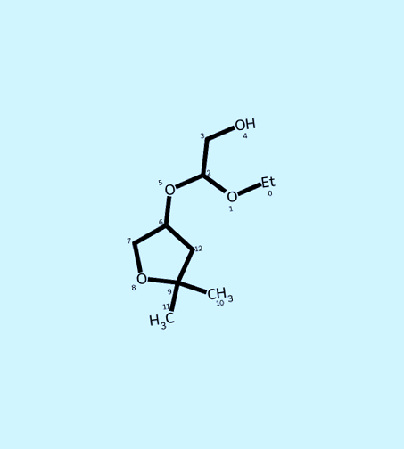 CCOC(CO)OC1COC(C)(C)C1